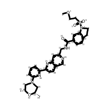 COCCS(=O)(=O)N1CCc2ccc(C(=O)NCc3cc4nc(-c5cccc(N6C[C@@H](C)O[C@@H](C)C6)n5)ccc4cn3)cc21